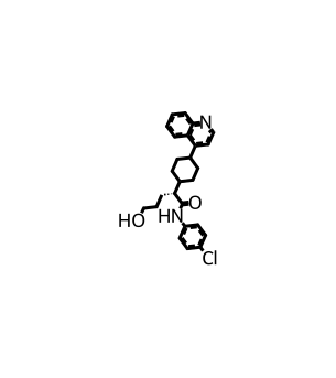 O=C(Nc1ccc(Cl)cc1)[C@H](CCCO)C1CCC(c2ccnc3ccccc23)CC1